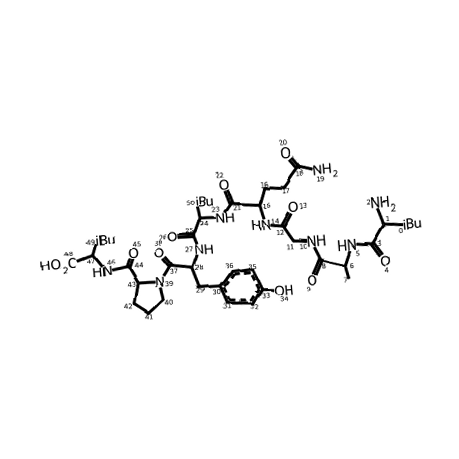 CCC(C)C(N)C(=O)NC(C)C(=O)NCC(=O)NC(CCC(N)=O)C(=O)NC(C(=O)NC(Cc1ccc(O)cc1)C(=O)N1CCCC1C(=O)NC(C(=O)O)C(C)CC)C(C)CC